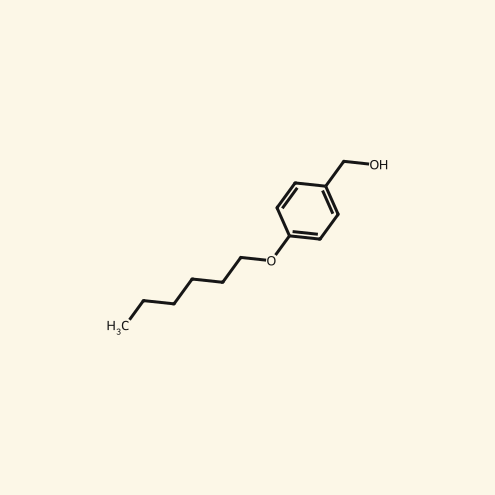 CCCCCCOc1ccc(CO)cc1